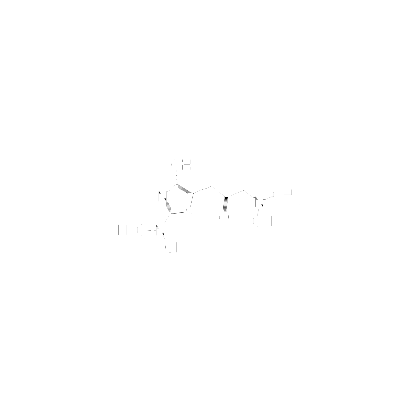 Cc1nc(N(C)C)sc1CC(=O)CN(C)C